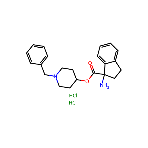 Cl.Cl.NC1(C(=O)OC2CCN(Cc3ccccc3)CC2)CCc2ccccc21